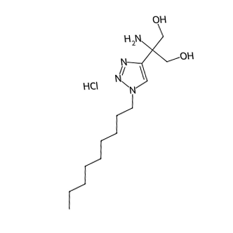 CCCCCCCCCn1cc(C(N)(CO)CO)nn1.Cl